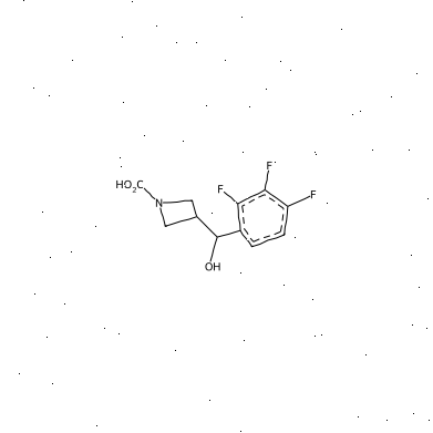 O=C(O)N1CC(C(O)c2ccc(F)c(F)c2F)C1